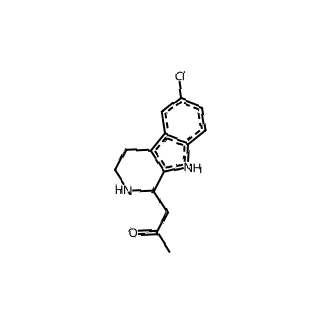 CC(=O)CC1NCCc2c1[nH]c1ccc(Cl)cc21